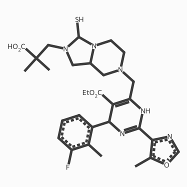 CCOC(=O)C1=C(CN2CCN3C(C2)CN(CC(C)(C)C(=O)O)C3S)NC(c2ncoc2C)=NC1c1cccc(F)c1C